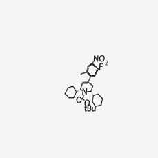 Cc1cc([N+](=O)[O-])c(F)cc1C1=C[C@@H](C2CCCCC2)N(C(=O)OC(C)(C)C)[C@@H](C2CCCCC2)C1